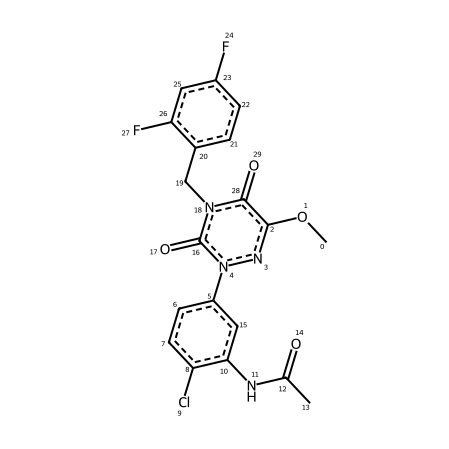 COc1nn(-c2ccc(Cl)c(NC(C)=O)c2)c(=O)n(Cc2ccc(F)cc2F)c1=O